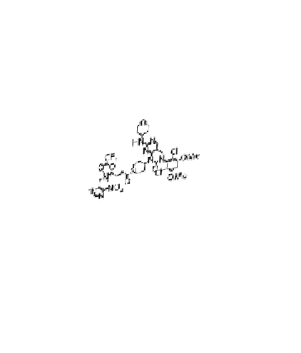 COc1cc(OC)c(Cl)c(N2Cc3cnc(NC4CCOCC4)nc3N(C3CCN(C(=O)/C=C/C(OC(=O)C(F)(F)F)[N+](C)(C)Cc4c([N+](=O)[O-])ncn4C)CC3)C2=O)c1Cl